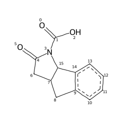 O=C(O)N1C(=O)CC2Cc3ccccc3C21